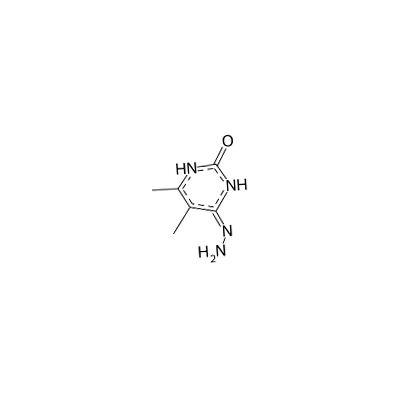 Cc1[nH]c(=O)[nH]/c(=N/N)c1C